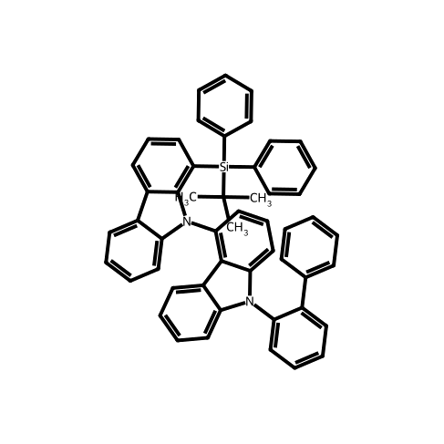 CC(C)(C)[Si](c1ccccc1)(c1ccccc1)c1cccc2c3ccccc3n(-c3cccc4c3c3ccccc3n4-c3ccccc3-c3ccccc3)c12